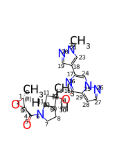 C[C@H]1O[C@@H]1C(=O)N1CC[C@H]2[C@@H]1C[C@]2(C)Oc1nc(-c2cnn(C)c2)cn2nccc12